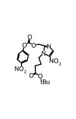 CC(C)(C)OC(=O)CCCn1c([N+](=O)[O-])cnc1COC(=O)Oc1ccc([N+](=O)[O-])cc1